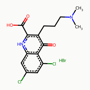 Br.CN(C)CCCc1c(C(=O)O)[nH]c2cc(Cl)cc(Cl)c2c1=O